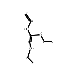 C=COC(=COCC)OCC